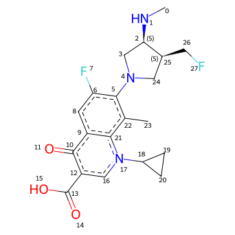 CN[C@@H]1CN(c2c(F)cc3c(=O)c(C(=O)O)cn(C4CC4)c3c2C)C[C@@H]1CF